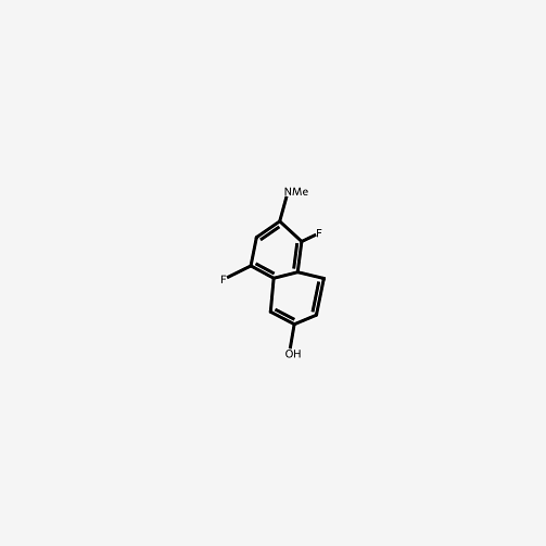 CNc1cc(F)c2cc(O)ccc2c1F